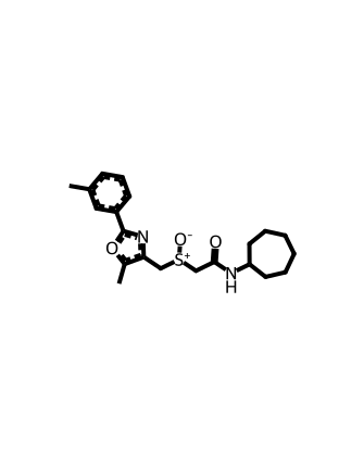 Cc1cccc(-c2nc(C[S+]([O-])CC(=O)NC3CCCCCC3)c(C)o2)c1